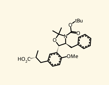 COc1ccc(C[C@@H](C)C(=O)O)cc1[C@@H]1OC(C)(C)N(C(=O)OC(C)(C)C)[C@H]1Cc1ccccc1